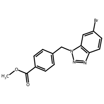 COC(=O)c1ccc(Cn2nnc3ccc(Br)cc32)cc1